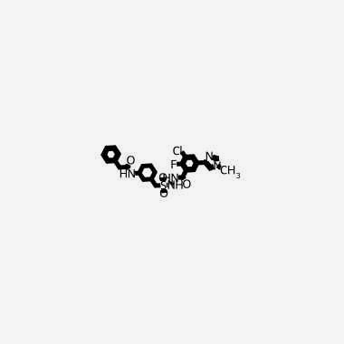 Cn1cnc(-c2cc(Cl)c(F)c(C(=O)NNS(=O)(=O)CC3CCCC(NC(=O)Cc4ccccc4)C3)c2)c1